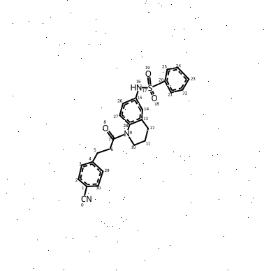 N#Cc1ccc(CCC(=O)N2CCCc3cc(NS(=O)(=O)c4ccccc4)ccc32)cc1